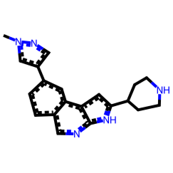 Cn1cc(-c2ccc3cnc4[nH]c(C5CCNCC5)cc4c3c2)cn1